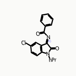 CCCN1C(=O)/C(=N/C(=O)c2ccccc2)c2cc(Cl)ccc21